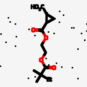 CCC(C)(C)C(=O)OCCOC(=O)C1CC1C(=O)O